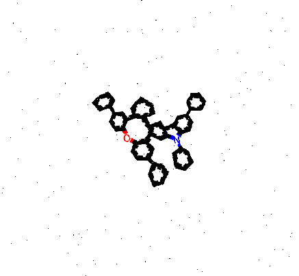 c1ccc(-c2ccc3oc4ccc(-c5ccccc5)cc4c4cc5c(cc4c4ccccc4c3c2)c2cc(-c3ccccc3)ccc2n5-c2ccccc2)cc1